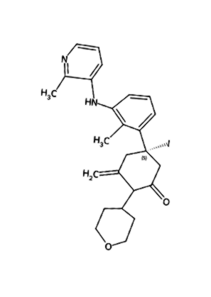 C=C1C[C@@](I)(c2cccc(Nc3cccnc3C)c2C)CC(=O)C1C1CCOCC1